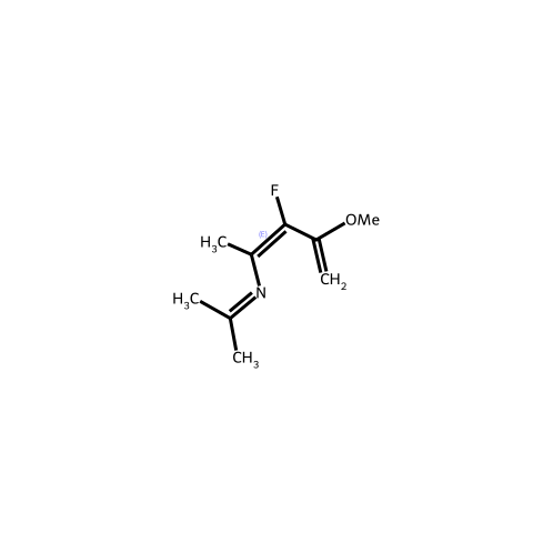 C=C(OC)/C(F)=C(/C)N=C(C)C